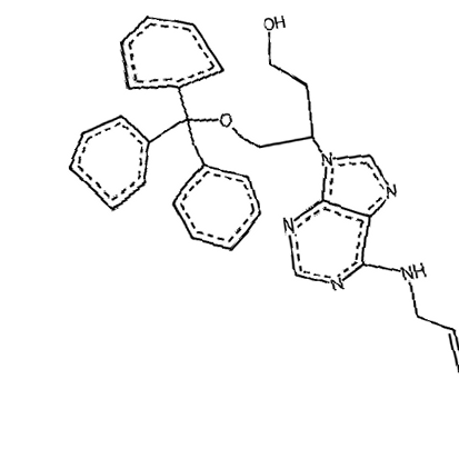 C=CCNc1ncnc2c1ncn2C(CCO)COC(c1ccccc1)(c1ccccc1)c1ccccc1